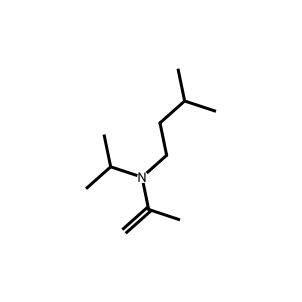 C=C(C)N(CCC(C)C)C(C)C